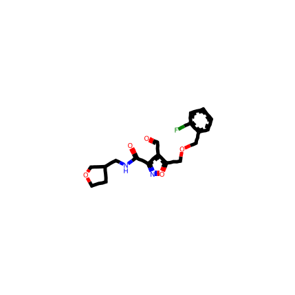 O=Cc1c(C(=O)NCC2CCOC2)noc1COCc1ccccc1F